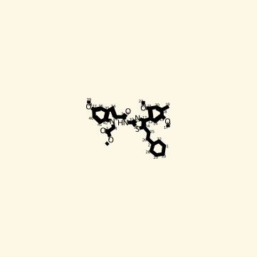 COC(=O)Cn1c(C(=O)Nc2nc(-c3cc(OC)c(C)cc3OC)c(CCC3CCCCC3)s2)cc2cc(OC)ccc21